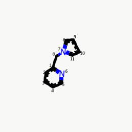 [CH](c1ccccn1)n1cccc1